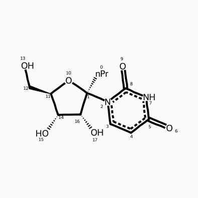 CCC[C@@]1(n2ccc(=O)[nH]c2=O)O[C@H](CO)[C@@H](O)[C@H]1O